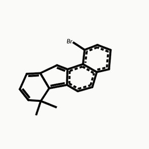 CC1(C)C=CC=C2C=c3c(ccc4cccc(Br)c34)=C21